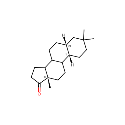 CC1(C)CC[C@@H]2C3CC[C@]4(C)C(=O)CCC4C3CC[C@@H]2C1